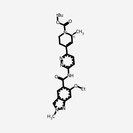 CCOc1cc2nn(C)cc2cc1C(=O)Nc1ccc(C2=C[C@H](C)N(C(=O)OC(C)(C)C)CC2)nn1